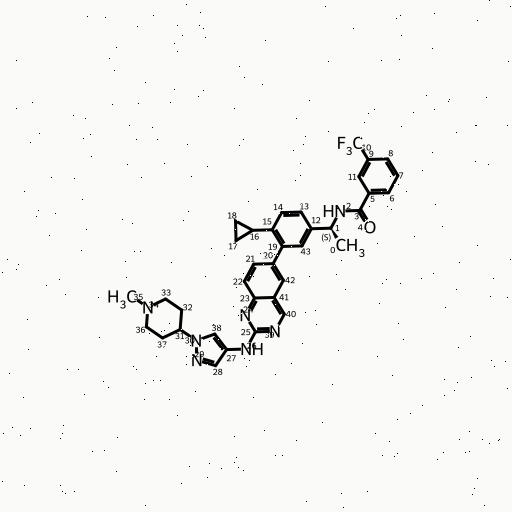 C[C@H](NC(=O)c1cccc(C(F)(F)F)c1)c1ccc(C2CC2)c(-c2ccc3nc(Nc4cnn(C5CCN(C)CC5)c4)ncc3c2)c1